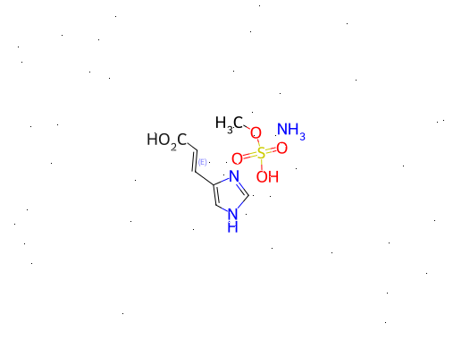 COS(=O)(=O)O.N.O=C(O)/C=C/c1c[nH]cn1